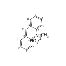 CC(=O)O.c1ccc2nc3ccccc3cc2c1